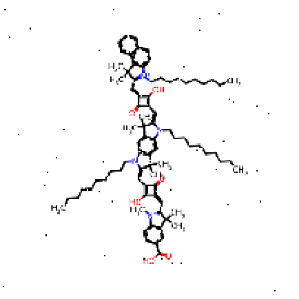 CCCCCCCCCCN1C(=CC2=C(O)C(=CC3=[N+](C)c4ccc(C(=O)O)cc4C3(C)C)C2=O)C(C)(C)c2cc3c(cc21)C(C)(C)C(=CC1=C(O)C(=CC2=[N+](CCCCCCCCCC)c4ccc5ccccc5c4C2(C)C)C1=O)N3CCCCCCCCCC